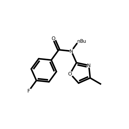 CCCCN(C(=O)c1ccc(F)cc1)c1nc(C)co1